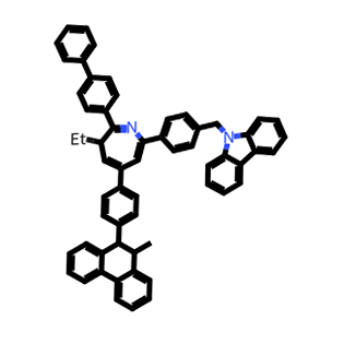 CCC1C=C(c2ccc(C3c4ccccc4-c4ccccc4C3C)cc2)C=C(c2ccc(Cn3c4ccccc4c4ccccc43)cc2)N=C1c1ccc(-c2ccccc2)cc1